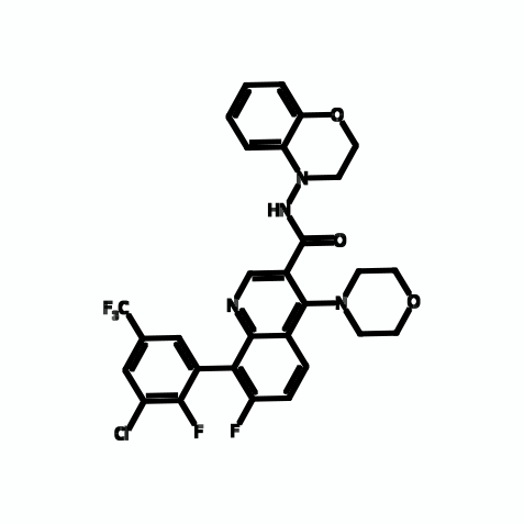 O=C(NN1CCOc2ccccc21)c1cnc2c(-c3cc(C(F)(F)F)cc(Cl)c3F)c(F)ccc2c1N1CCOCC1